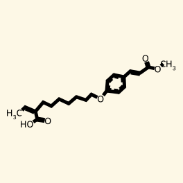 CC=C(CCCCCCCOc1ccc(C=CC(=O)OC)cc1)C(=O)O